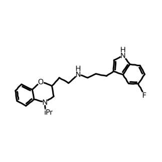 CC(C)N1CC(CCNCCCc2c[nH]c3ccc(F)cc23)Oc2ccccc21